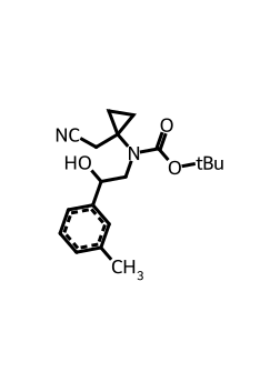 Cc1cccc(C(O)CN(C(=O)OC(C)(C)C)C2(CC#N)CC2)c1